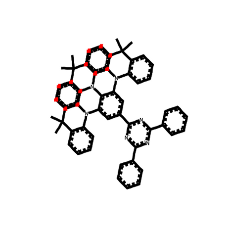 CC1(C)c2ccccc2N(c2cc(-c3nc(-c4ccccc4)nc(-c4ccccc4)n3)cc(N3c4ccccc4C(C)(C)c4ccccc43)c2N2c3ccccc3C(C)(C)c3ccccc32)c2ccccc21